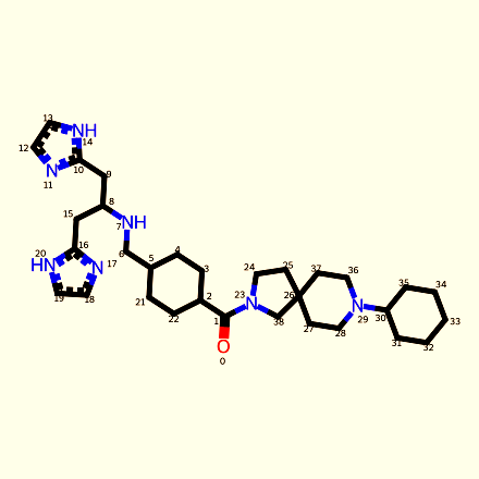 O=C(C1CCC(CNC(Cc2ncc[nH]2)Cc2ncc[nH]2)CC1)N1CCC2(CCN(C3CCCCC3)CC2)C1